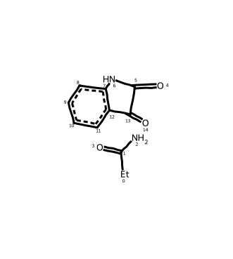 CCC(N)=O.O=C1Nc2ccccc2C1=O